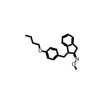 CCCCOc1ccc(CC2/C(=N\OC)Cc3ccccc32)cc1